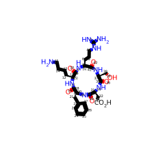 N=C(N)NCCC[C@@H]1NC(=O)[C@H](CCCCN)NC(=O)[C@@H](Cc2ccccc2)NC(=O)[C@H](CC(=O)O)NC(=O)[C@H](CO)NC1=O